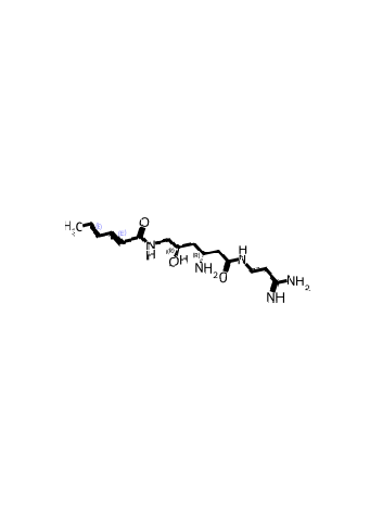 C/C=C/C=C/C(=O)NC[C@H](O)C[C@@H](N)CC(=O)NCCC(=N)N